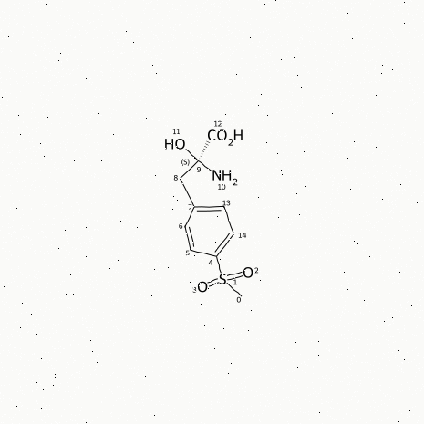 CS(=O)(=O)c1ccc(C[C@](N)(O)C(=O)O)cc1